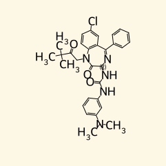 CN(C)c1cccc(NC(=O)N[C@@H]2N=C(c3ccccc3)c3cc(Cl)ccc3N(CC(=O)C(C)(C)C)C2=O)c1